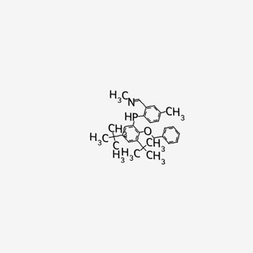 C/N=C/c1cc(C)ccc1Pc1cc(C(C)(C)C)cc(C(C)(C)C)c1OCc1ccccc1